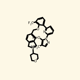 COc1c(C(=O)O)cnn1-c1cccc(-c2cccc(C(F)(F)F)c2OCc2ccc3c(c2)CN(C2CCOCC2)C3)n1